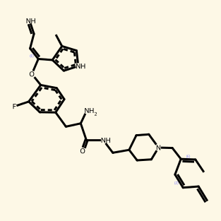 C=C/C=C\C(=C/C)CN1CCC(CNC(=O)C(N)Cc2ccc(O/C(=C/C=N)c3c[nH]cc3C)c(F)c2)CC1